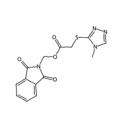 Cn1cnnc1SCC(=O)OCN1C(=O)c2ccccc2C1=O